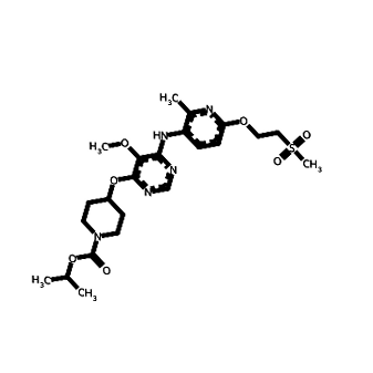 COc1c(Nc2ccc(OCCS(C)(=O)=O)nc2C)ncnc1OC1CCN(C(=O)OC(C)C)CC1